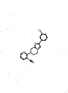 N#Cc1cccnc1C1CCn2cc(-c3cccc(Cl)c3)nc2C1